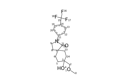 COCC1(O)CCC2(CCN(c3ccc(C(F)(F)F)cc3)C2=O)CC1